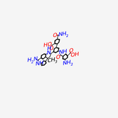 CC1(c2ccccc2)CC(c2cc(NC(=O)c3cc(N)cc(C(=O)O)c3)cc(-c3ccc(C(N)=O)cc3C(=O)O)c2)Nc2ccc(C(=N)N)cc21